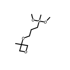 CO[Si](C)(CCCOC1(C)COC1)OC